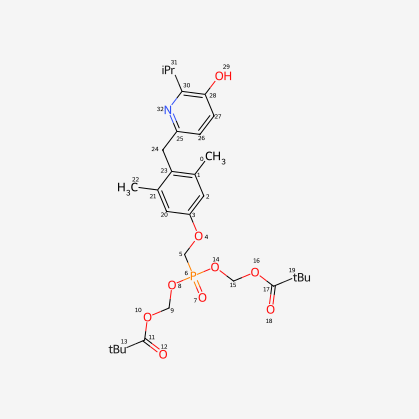 Cc1cc(OCP(=O)(OCOC(=O)C(C)(C)C)OCOC(=O)C(C)(C)C)cc(C)c1Cc1ccc(O)c(C(C)C)n1